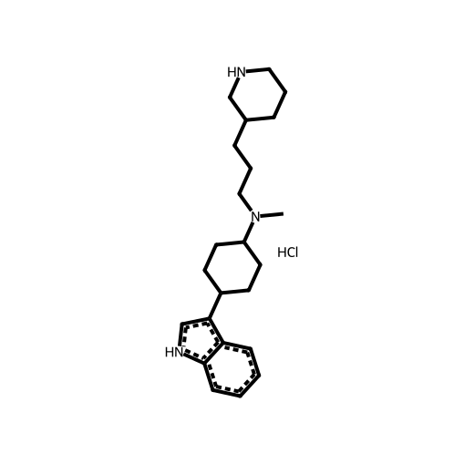 CN(CCCC1CCCNC1)C1CCC(c2c[nH]c3ccccc23)CC1.Cl